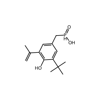 C=C(C)c1cc(C[PH](=O)O)cc(C(C)(C)C)c1O